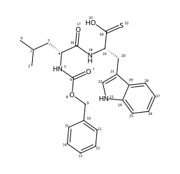 CC(C)C[C@@H](NC(=O)OCc1ccccc1)C(=O)N[C@@H](Cc1c[nH]c2ccccc12)C(O)=S